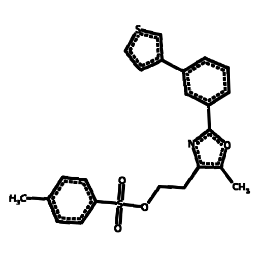 Cc1ccc(S(=O)(=O)OCCc2nc(-c3cccc(-c4ccsc4)c3)oc2C)cc1